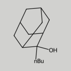 CCCCC1(O)C2CC3CC(C2)CC1C3